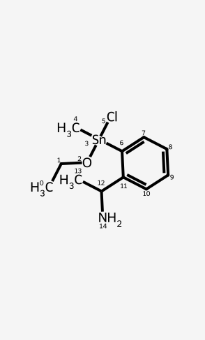 CC[O][Sn]([CH3])([Cl])[c]1ccccc1C(C)N